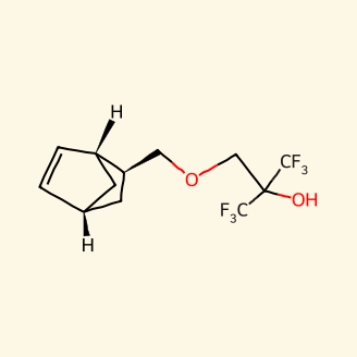 OC(COC[C@H]1C[C@@H]2C=C[C@H]1C2)(C(F)(F)F)C(F)(F)F